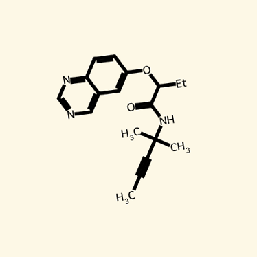 CC#CC(C)(C)NC(=O)C(CC)Oc1ccc2ncncc2c1